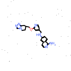 Nc1nccc2cc(NCc3ccnc(OCC4CCn5cnnc5C4)c3)ccc12